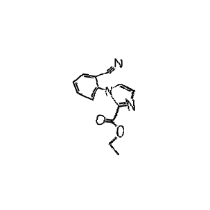 CCOC(=O)c1nccn1-c1ccccc1C#N